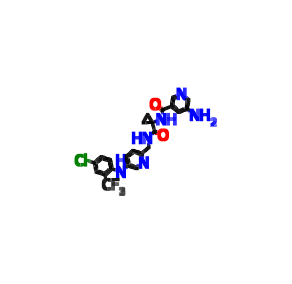 Nc1cncc(C(=O)NC2(C(=O)NCc3ccc(Nc4ccc(Cl)cc4C(F)(F)F)cn3)CC2)c1